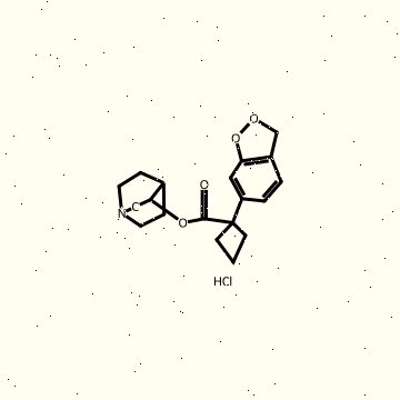 Cl.O=C(OC1CN2CCC1CC2)C1(c2ccc3c(c2)OOC3)CCC1